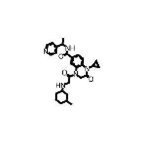 CC1CCCC(NCC(=O)N2CC(=O)N(C3CC3)c3ccc(C(=O)NC(C)c4ccncc4)cc32)C1